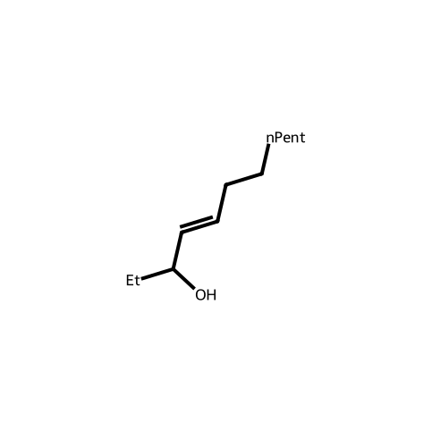 CCCCCCCC=CC(O)CC